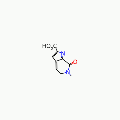 CN1CC=C2C=C(C(=O)O)N=C2C1=O